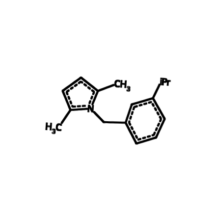 Cc1ccc(C)n1Cc1cccc(C(C)C)c1